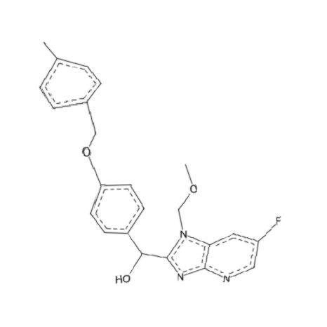 COCn1c(C(O)c2ccc(OCc3ccc(C)cc3)cc2)nc2ncc(F)cc21